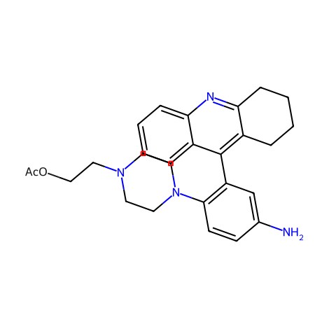 CC(=O)OCCN1CCN(c2ccc(N)cc2-c2c3c(nc4ccccc24)CCCC3)CC1